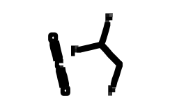 FCC(F)F.O=C=O